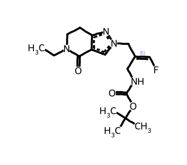 CCN1CCc2nn(C/C(=C/F)CNC(=O)OC(C)(C)C)cc2C1=O